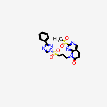 CS(=O)(=O)c1ncc2ccc(=O)n(CCCS(=O)(=O)n3cnc(-c4ccccc4)n3)c2n1